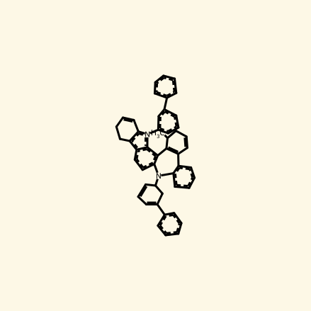 CC1CC=CC2=C1c1c(ccc3c4c(n(-c5cccc(-c6ccccc6)c5)c13)C=CCC4)N(C1C=CC=C(c3ccccc3)C1)c1ccccc12